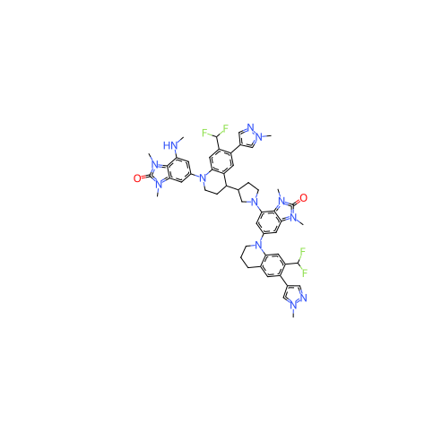 CNc1cc(N2CCC(C3CCN(c4cc(N5CCCc6cc(-c7cnn(C)c7)c(C(F)F)cc65)cc5c4n(C)c(=O)n5C)C3)c3cc(-c4cnn(C)c4)c(C(F)F)cc32)cc2c1n(C)c(=O)n2C